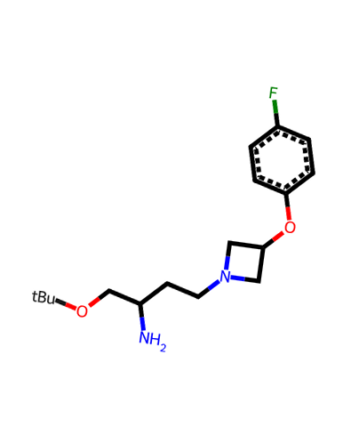 CC(C)(C)OCC(N)CCN1CC(Oc2ccc(F)cc2)C1